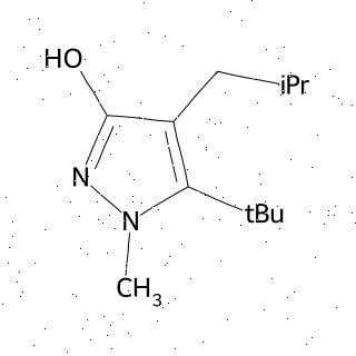 CC(C)Cc1c(O)nn(C)c1C(C)(C)C